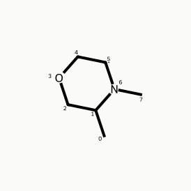 CC1COC[CH]N1C